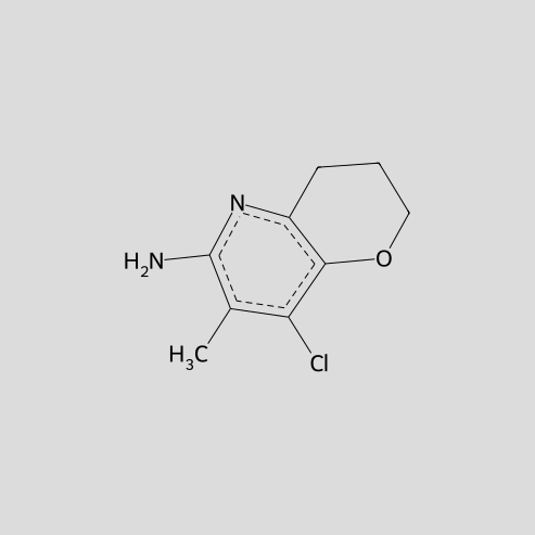 Cc1c(N)nc2c(c1Cl)OCCC2